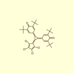 CC(C)(C)C1=CC(=C2C(=C3C=C(C(C)(C)C)C(=O)C(C(C)(C)C)=C3)C2=C2C(Cl)=C(Cl)C(Cl)=C2Cl)C=C(C(C)(C)C)C1=O